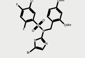 COc1ccc(CN(c2ncc(Br)s2)S(=O)(=O)c2cc(Cl)c(F)cc2F)c(OC)c1